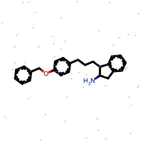 NC1Cc2ccccc2C1CCCc1ccc(OCc2ccccc2)cc1